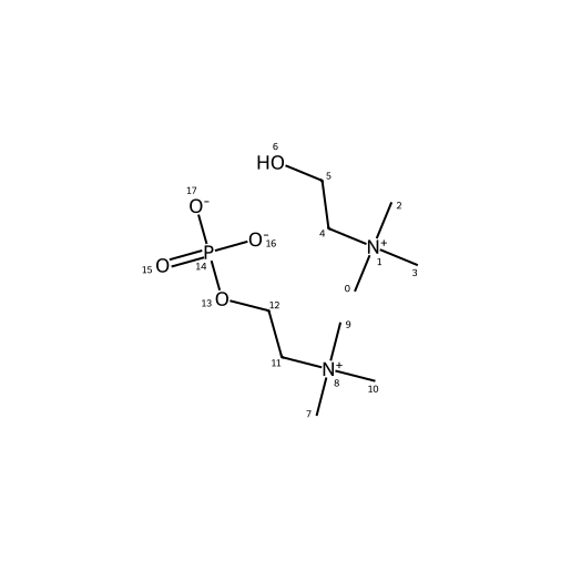 C[N+](C)(C)CCO.C[N+](C)(C)CCOP(=O)([O-])[O-]